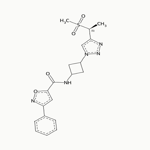 C[C@@H](c1cn(C2CC(NC(=O)c3cc(-c4ccccc4)no3)C2)nn1)S(C)(=O)=O